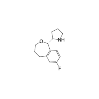 Fc1ccc2c(c1)CCCO[C@@H]2C1CCCN1